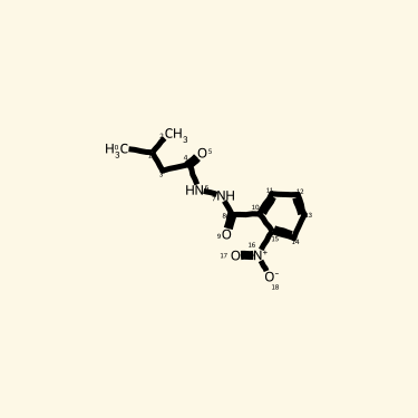 CC(C)CC(=O)NNC(=O)c1ccccc1[N+](=O)[O-]